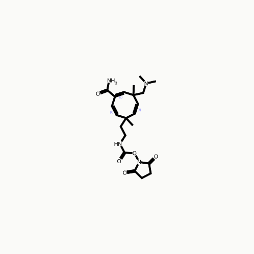 CN(C)CC1(C)/C=C\C(C)(CCNC(=O)ON2C(=O)CCC2=O)/C=C\C(C(N)=O)=C/1